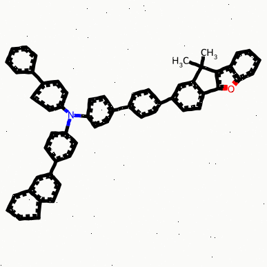 CC1(C)c2cc(-c3ccc(-c4ccc(N(c5ccc(-c6ccccc6)cc5)c5ccc(-c6ccc7ccccc7c6)cc5)cc4)cc3)ccc2-c2oc3ccccc3c21